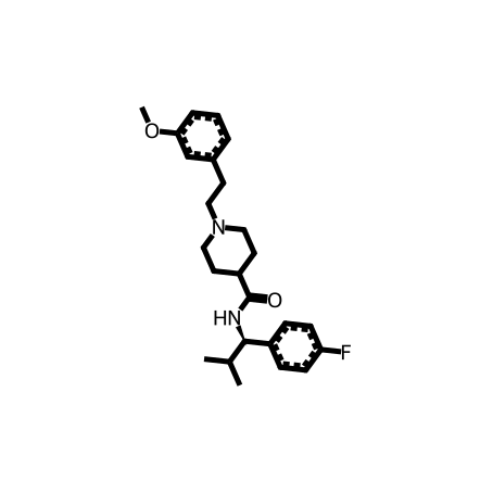 COc1cccc(CCN2CCC(C(=O)N[C@@H](c3ccc(F)cc3)C(C)C)CC2)c1